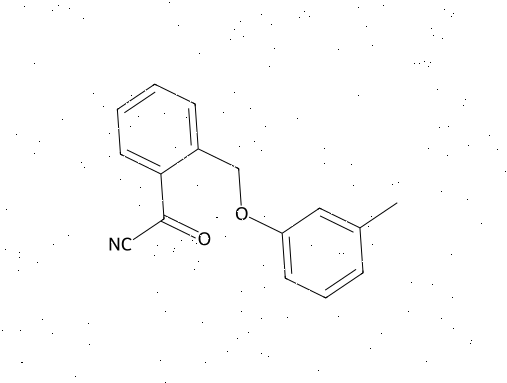 Cc1cccc(OCc2ccccc2C(=O)C#N)c1